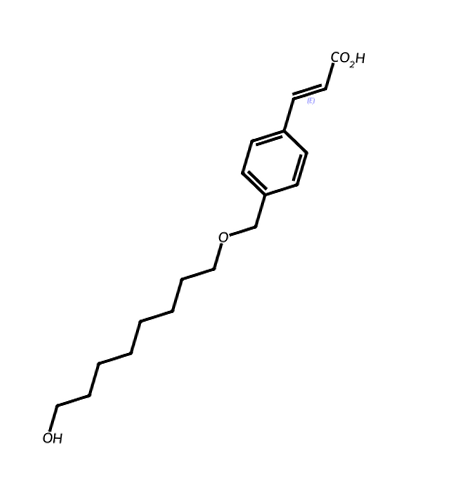 O=C(O)/C=C/c1ccc(COCCCCCCCCO)cc1